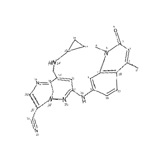 Cc1cc(=O)n(C)c2cc(Nc3cc(NC4CC4)c4ncc(C#N)n4n3)ccc12